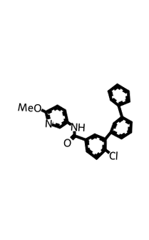 COc1ccc(NC(=O)c2ccc(Cl)c(-c3cccc(-c4ccccc4)c3)c2)cn1